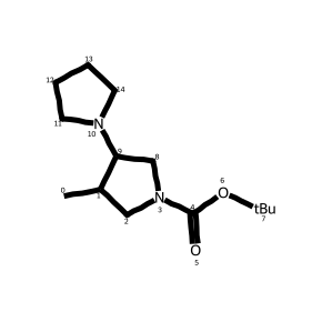 CC1CN(C(=O)OC(C)(C)C)CC1N1CCCC1